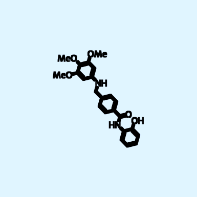 COc1cc(NCc2ccc(C(=O)Nc3ccccc3O)cc2)cc(OC)c1OC